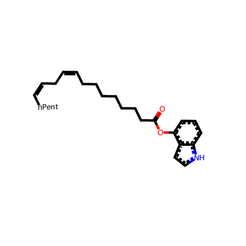 CCCCC/C=C\C/C=C\CCCCCCCC(=O)Oc1cccc2[nH]ccc12